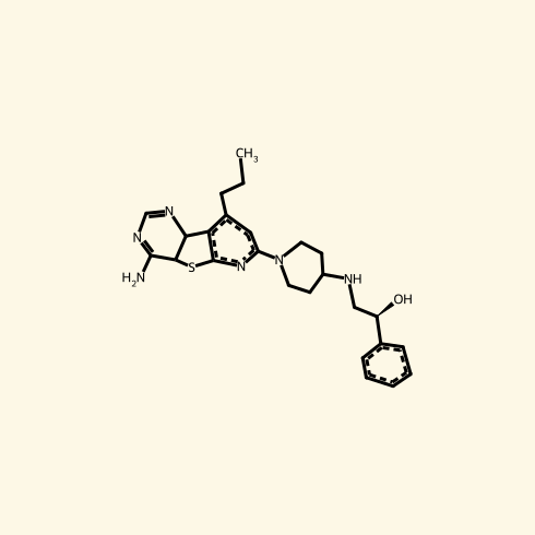 CCCc1cc(N2CCC(NC[C@@H](O)c3ccccc3)CC2)nc2c1C1N=CN=C(N)C1S2